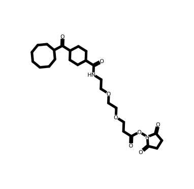 O=C(CCOCCOCCNC(=O)C1CCC(C(=O)C2CCCCCCC2)CC1)ON1C(=O)CCC1=O